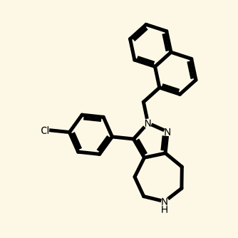 Clc1ccc(-c2c3c(nn2Cc2cccc4ccccc24)CCNCC3)cc1